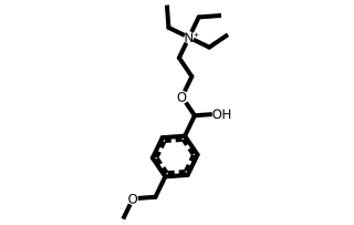 CC[N+](CC)(CC)CCOC(O)c1ccc(COC)cc1